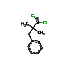 CC(C)(Cc1ccccc1)[SiH](Cl)Cl